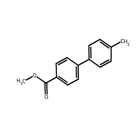 [CH2]c1ccc(-c2ccc(C(=O)OC)cc2)cc1